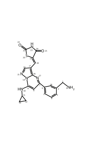 NCc1cccc(-c2cc(NC3CC3)n3ncc(/C=C4\SC(=O)NC4=O)c3n2)c1